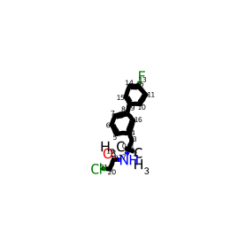 CC(C)(Cc1cccc(-c2ccc(F)cc2)c1)NC(=O)CCl